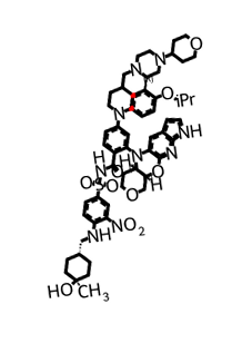 CC(C)Oc1ccccc1[C@@H]1CN(C2CCOCC2)CCN1CC1CCN(c2ccc(C(=O)NS(=O)(=O)c3ccc(NC[C@H]4CC[C@](C)(O)CC4)c([N+](=O)[O-])c3)c(N3c4cc5cc[nH]c5nc4O[C@H]4COCC[C@@H]43)c2)CC1